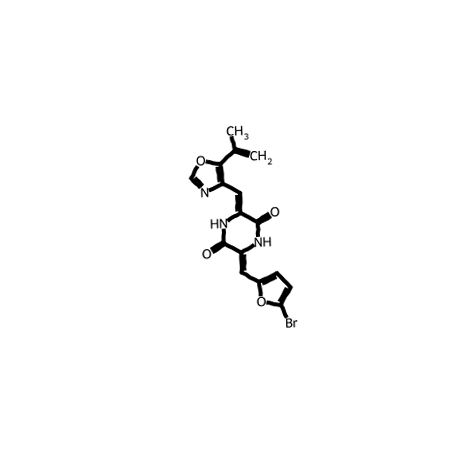 C=C(C)c1ocnc1/C=c1\[nH]c(=O)/c(=C/c2ccc(Br)o2)[nH]c1=O